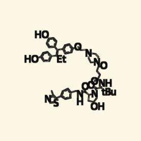 CCC(=C(c1ccc(O)cc1)c1ccc(OCCN2CCN(C(=O)CCC(=O)N[C@H](C(=O)N3C[C@H](O)C[C@H]3C(=O)NCc3ccc(-c4scnc4C)cc3)C(C)(C)C)CC2)cc1)c1ccc(O)cc1